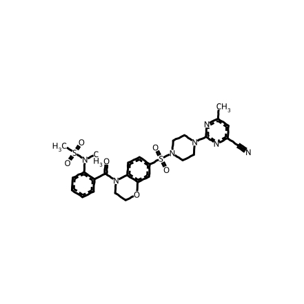 Cc1cc(C#N)nc(N2CCN(S(=O)(=O)c3ccc4c(c3)OCCN4C(=O)c3ccccc3N(C)S(C)(=O)=O)CC2)n1